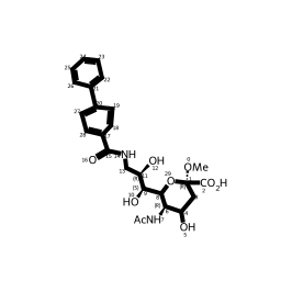 CO[C@]1(C(=O)O)CC(O)[C@@H](NC(C)=O)C([C@@H](O)[C@H](O)CNC(=O)c2ccc(-c3ccccc3)cc2)O1